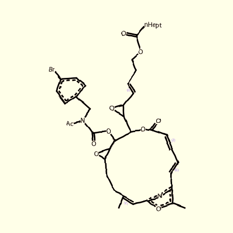 CCCCCCCC(=O)OCC/C=C/C1OC1C1OC(=O)/C=C\C=C\c2nc(oc2C)/C=C(/C)CCC2OC2C1OC(=O)N(Cc1ccc(Br)cc1)C(C)=O